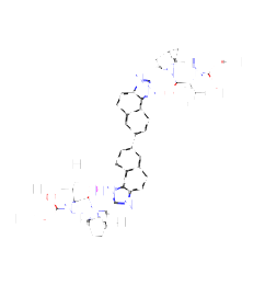 COC(=O)N[C@H](C(=O)N1[C@@H]2CC[C@@H](C2)[C@H]1c1nc2ccc3cc(-c4ccc5c(ccc6nc([C@@H]7CC8C[C@@H]8N7C(=O)[C@@H](NC(=O)OC)C(C)C)[nH]c65)c4)ccc3c2[nH]1)C(C)C